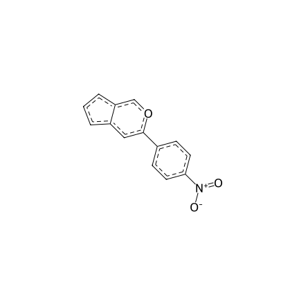 O=[N+]([O-])c1ccc(-c2cc3cccc-3co2)cc1